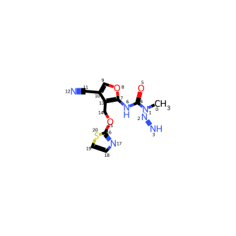 CN(N=N)C(=O)Nc1occ(C#N)c1COc1nccs1